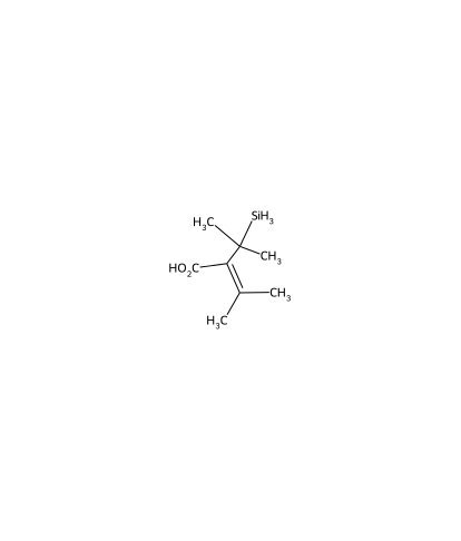 CC(C)=C(C(=O)O)C(C)(C)[SiH3]